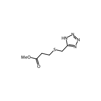 COC(=O)CCSCc1nnn[nH]1